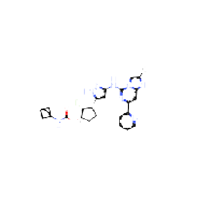 Cc1cn2c(Nc3cc([C@H]4CC[C@@H](OC(=O)NC56CC(C5)C6)[C@H]4F)[nH]n3)nc(-c3ccccn3)cc2n1